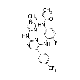 C=CC(=O)Nc1ccc(F)c(Nc2nc(Nc3cn(C)cn3)ncc2-c2ccc(C(F)(F)F)cc2)c1